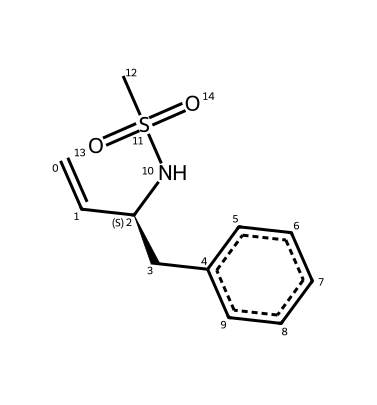 C=C[C@H](Cc1ccccc1)NS(C)(=O)=O